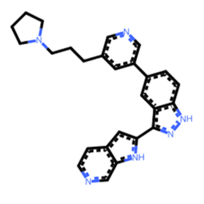 c1cc2cc(-c3n[nH]c4ccc(-c5cncc(CCCN6CCCC6)c5)cc34)[nH]c2cn1